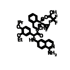 CCOc1cc([C@H](Nc2ccc3c(N)nccc3c2)C(=O)N(C)Cc2ccccc2S(=O)(=O)C2CC2)ccc1OC(C)C.O=C(O)C(F)(F)F